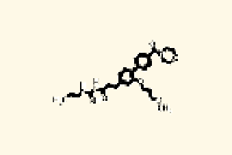 CCCNC(=N)NC(=O)CCc1ccc(-c2ccc(C(=O)N3CCOCC3)cc2)c(OCCCOC)c1